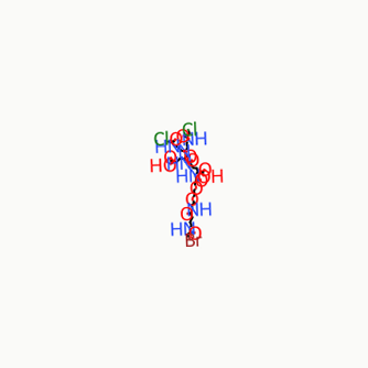 O=C(O)CCC(NC(=O)CCC(NC(=O)COCCOCCNC(=O)CCCNC(=O)CBr)C(=O)O)C(=O)N(CCNC(=O)CCl)CCNC(=O)CCl